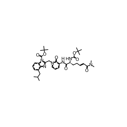 CC(C)Cc1cccc2c1nc(Cn1cccc(NC(=O)[C@H](CC/C=C/C(=O)N(C)C)NC(=O)OC(C)(C)C)c1=O)n2C(=O)OC(C)(C)C